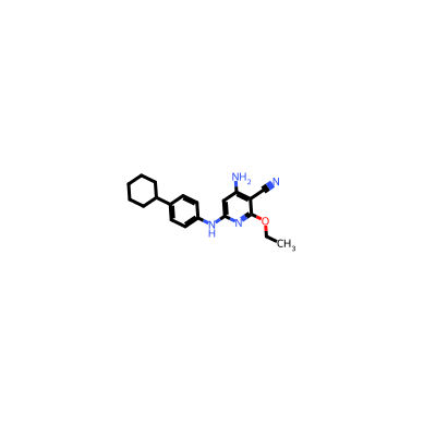 CCOc1nc(Nc2ccc(C3CCCCC3)cc2)cc(N)c1C#N